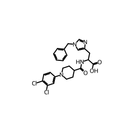 O=C(NC(Cc1cn(Cc2ccccc2)cn1)C(=O)O)C1CCN(c2ccc(Cl)c(Cl)c2)CC1